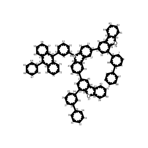 c1ccc(-c2cccc(-c3cc(-c4ccc5c(c4)c4cc(-c6cc(-c7cccc(-c8ccccc8)c7)c7oc8ccccc8c7c6)ccc4n5-c4cccc(-c5c6ccccc6c(-c6ccccc6)c6ccccc56)c4)cc4c3oc3ccccc34)c2)cc1